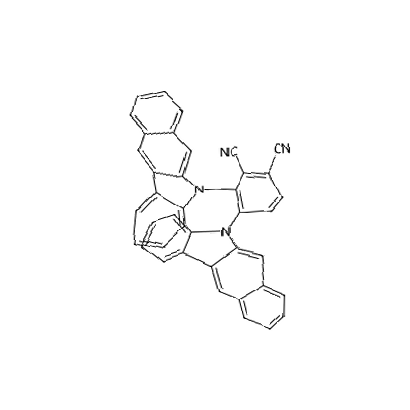 N#Cc1ccc(-n2c3ccccc3c3cc4ccccc4cc32)c(-n2c3ccccc3c3cc4ccccc4cc32)c1C#N